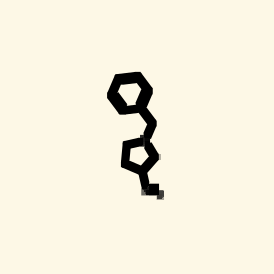 NC1[CH]N(Cc2ccccc2)CC1